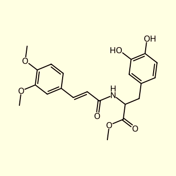 COC(=O)C(Cc1ccc(O)c(O)c1)NC(=O)C=Cc1ccc(OC)c(OC)c1